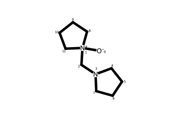 [O-][N+]1(CN2CCCC2)CCCC1